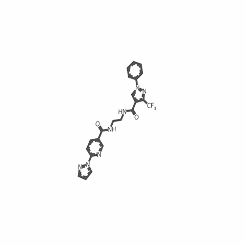 O=C(NCCNC(=O)c1cn(-c2ccccc2)nc1C(F)(F)F)c1ccc(-n2cccn2)nc1